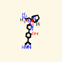 CN(c1ccc(-c2ccc(-c3cn[nH]c3)cc2O)nn1)[C@H]1CC2CC[C@@H](C1)N2C(=O)CCN